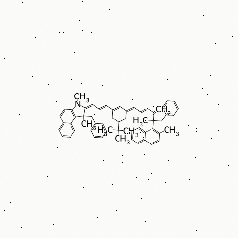 C=C(/C=C/C=C1C=C(/C=C/C=C2/N(C)c3ccc4ccccc4c3C2(C)Cc2ccccc2)CC(C(C)(C)C)C/1)C(C)(Cc1ccccc1)c1c(C)ccc2ccccc12